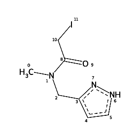 CN(Cc1cc[nH]n1)C(=O)CI